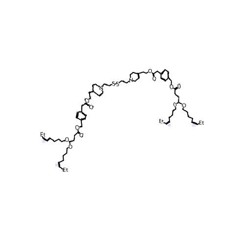 CC/C=C\CCCCOC(CCC(=O)OCc1ccc(CC(=O)OCCC2CCN(CCSSCCN3CCC(CCOC(=O)Cc4ccc(COC(=O)CCC(OCCCC/C=C\CC)OCCCC/C=C\CC)cc4)CC3)CC2)cc1)OCCCC/C=C\CC